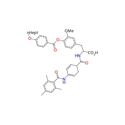 CCCCCCCOc1ccc(C(=O)Oc2ccc(CC(NC(=O)C3C=CC(NC(=O)c4c(C)cc(C)cc4C)=CC3)C(=O)O)cc2OC)cc1